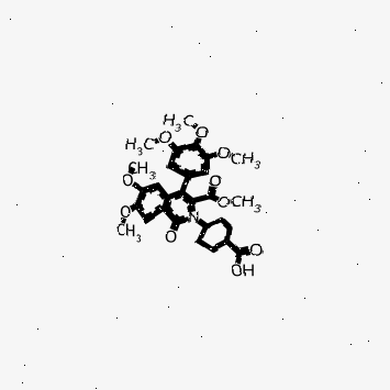 COC(=O)c1c(-c2cc(OC)c(OC)c(OC)c2)c2cc(OC)c(OC)cc2c(=O)n1C1CCC(C(=O)O)CC1